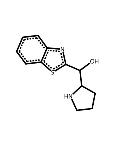 OC(c1nc2ccccc2s1)C1CCCN1